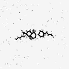 CCCCC[C@]1(C#N)CC[C@@H]2C[C@@H](C3CCC(CCCC)CC3)CC[C@@H]2C1